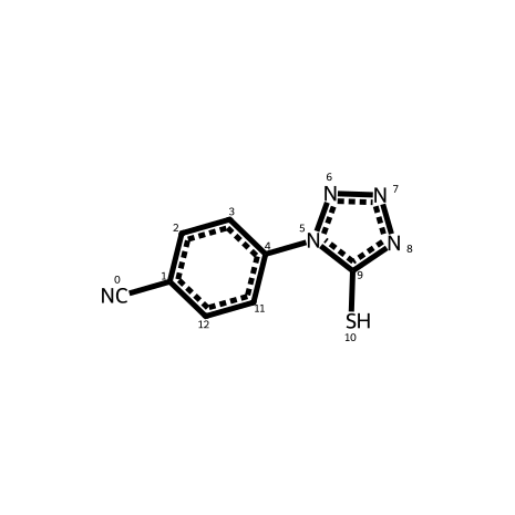 N#Cc1ccc(-n2nnnc2S)cc1